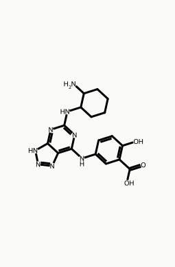 NC1CCCCC1Nc1nc(Nc2ccc(O)c(C(=O)O)c2)c2nn[nH]c2n1